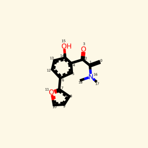 C=C(C(=O)c1cc(-c2ccco2)ccc1O)N(C)C